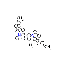 C=Cc1ccc(CC2(c3ccccc3)c3ccccc3-c3ccc(N(c4ccccc4)c4ccc(-c5ccc(N(c6ccccc6)c6ccc7c(c6)C(CC6=CCC(C=C)CC6)(c6ccccc6)C6=C7C(C)=CCC6)c6ccccc56)c5ccccc45)cc32)cc1